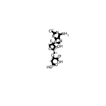 Nc1nc(Cl)nc2c1ncn2[C@@]1(F)CO[C@H](COC(CC(=O)O)C(=O)O)[C@H]1O